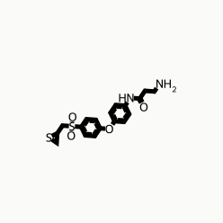 NCCC(=O)Nc1ccc(Oc2ccc(S(=O)(=O)CC3CS3)cc2)cc1